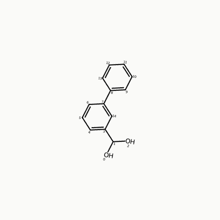 OC(O)c1cccc(-c2ccccc2)c1